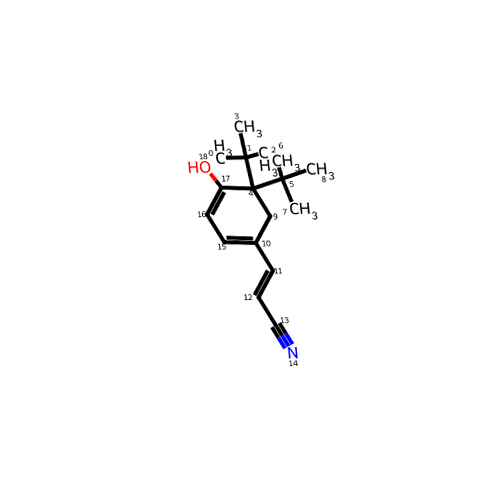 CC(C)(C)C1(C(C)(C)C)CC(C=CC#N)=CC=C1O